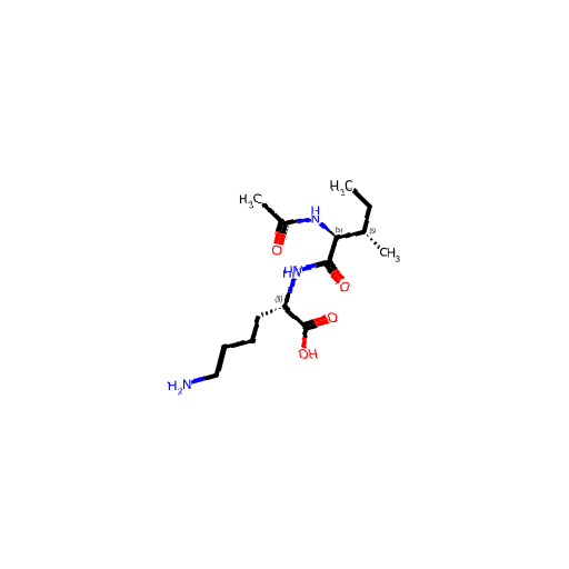 CC[C@H](C)[C@H](NC(C)=O)C(=O)N[C@@H](CCCCN)C(=O)O